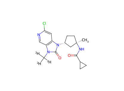 [2H]C([2H])([2H])n1c(=O)n([C@@H]2CC[C@@](C)(NC(=O)C3CC3)C2)c2cc(Cl)ncc21